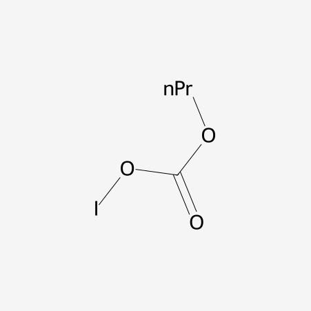 CCCOC(=O)OI